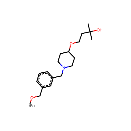 CC(C)(O)CCOC1CCN(Cc2cccc(COC(C)(C)C)c2)CC1